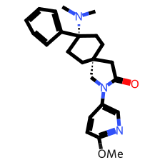 COc1ccc(N2C[C@]3(CC[C@@](c4ccccc4)(N(C)C)CC3)CC2=O)cn1